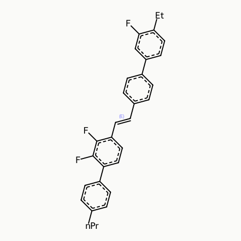 CCCc1ccc(-c2ccc(/C=C/c3ccc(-c4ccc(CC)c(F)c4)cc3)c(F)c2F)cc1